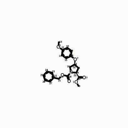 COC(=O)[C@@H]1C[C@H](Oc2ccc(OC)cc2)CN1C(=O)OCc1ccccc1